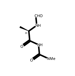 CNC(=O)NC(=O)[C@@H](C)NC=O